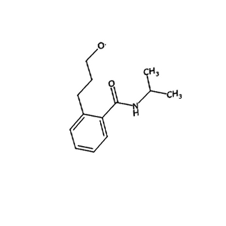 CC(C)NC(=O)c1ccccc1CCC[O]